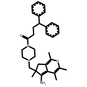 CC1=C(C)C2=C(N)C(C)(CN3CCN(C(=O)CCC(c4ccccc4)c4ccccc4)CC3)CC2=C(C)O1